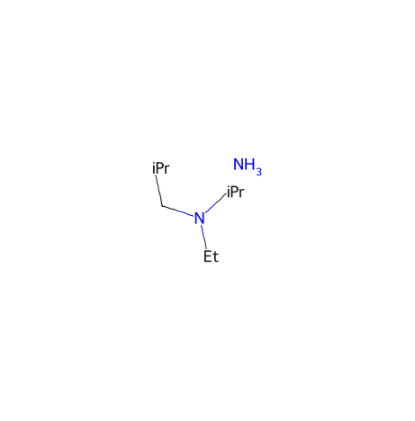 CCN(CC(C)C)C(C)C.N